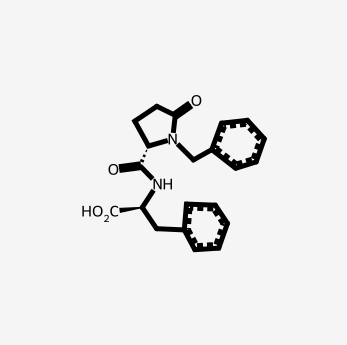 O=C(O)[C@H](Cc1ccccc1)NC(=O)[C@@H]1CCC(=O)N1Cc1ccccc1